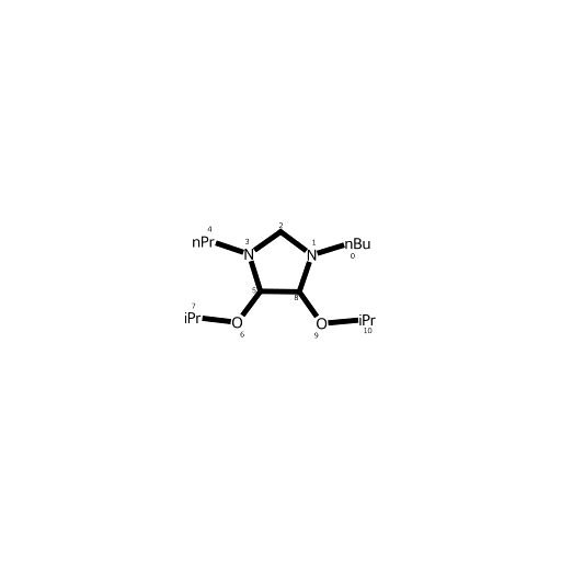 CCCCN1CN(CCC)C(OC(C)C)C1OC(C)C